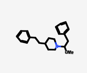 COC(Cc1ccccc1)N1CCC(CCc2ccccc2)CC1